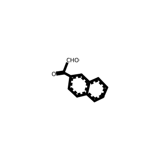 O=[C]C(=O)c1ccc2c[c]ccc2c1